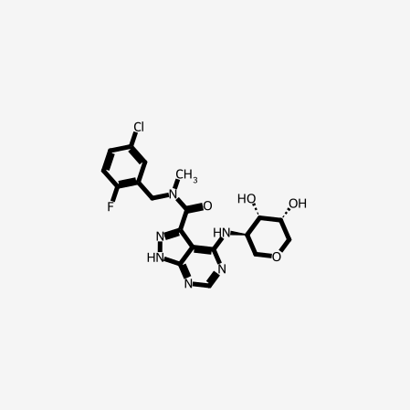 CN(Cc1cc(Cl)ccc1F)C(=O)c1n[nH]c2ncnc(N[C@@H]3COC[C@@H](O)[C@H]3O)c12